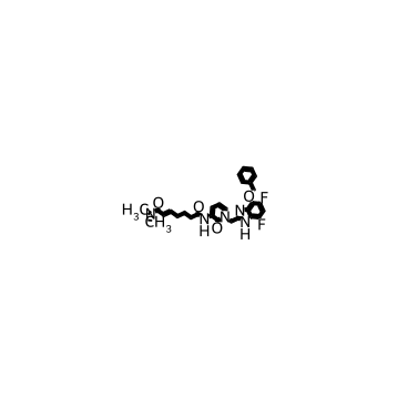 CN(C)C(=O)/C=C/CCCC(=O)Nc1cccn(Cc2nc3c(OCc4ccccc4)c(F)cc(F)c3[nH]2)c1=O